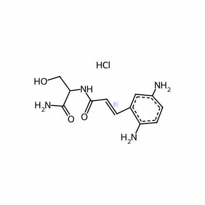 Cl.NC(=O)C(CO)NC(=O)/C=C/c1cc(N)ccc1N